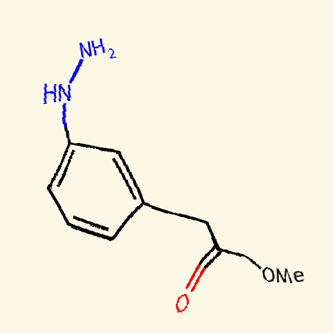 COC(=O)Cc1cccc(NN)c1